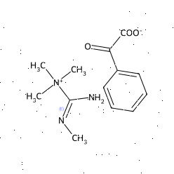 C/N=C(\N)[N+](C)(C)C.O=C([O-])C(=O)c1ccccc1